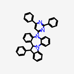 c1ccc(-c2cc(N3c4ccccc4C4C(c5ccccc5)c5ccccc5N4c4ccccc43)nc(-c3ccccc3)n2)cc1